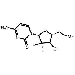 COC[C@H]1O[C@@H](n2ccc(N)nc2=O)[C@](C)(F)[C@@H]1O